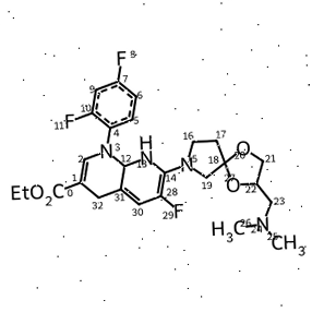 CCOC(=O)C1=CN(c2ccc(F)cc2F)C2NC(N3CCC4(C3)OCC(CN(C)C)O4)=C(F)C=C2C1